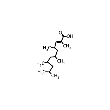 C/C(=C\C(C)CC(C)CC(C)CC(C)C)C(=O)O